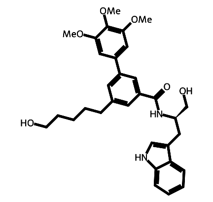 COc1cc(-c2cc(CCCCCO)cc(C(=O)N[C@@H](CO)Cc3c[nH]c4ccccc34)c2)cc(OC)c1OC